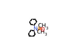 CP(C)(=O)N(c1ccccc1)c1ccccc1